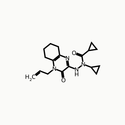 C=CCn1c2c(nc(NN(C(=O)C3CC3)C3CC3)c1=O)CCCC2